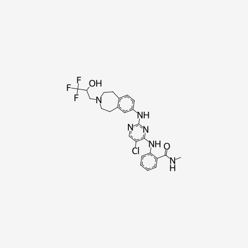 CNC(=O)c1ccccc1Nc1nc(Nc2ccc3c(c2)CCN(CC(O)C(F)(F)F)CC3)ncc1Cl